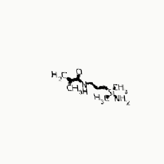 C=C(C)C(=O)NCCC[Si](C)(C)N